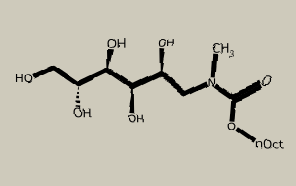 CCCCCCCCOC(=O)N(C)C[C@H](O)[C@@H](O)[C@H](O)[C@H](O)CO